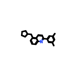 Cc1cc(C)cc(-c2ccc3c(CC4CCCC4)cccc3n2)c1